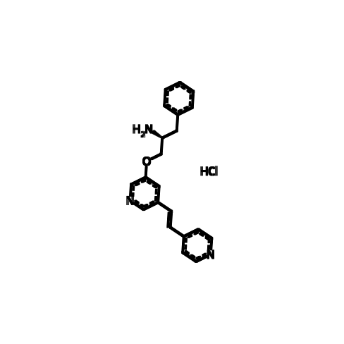 Cl.N[C@H](COc1cncc(C=Cc2ccncc2)c1)Cc1ccccc1